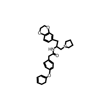 O=C(Cc1ccc(OC2=CC=CCC2)cc1)NC(Cc1ccc2c(c1)OCCO2)CN1CCCC1